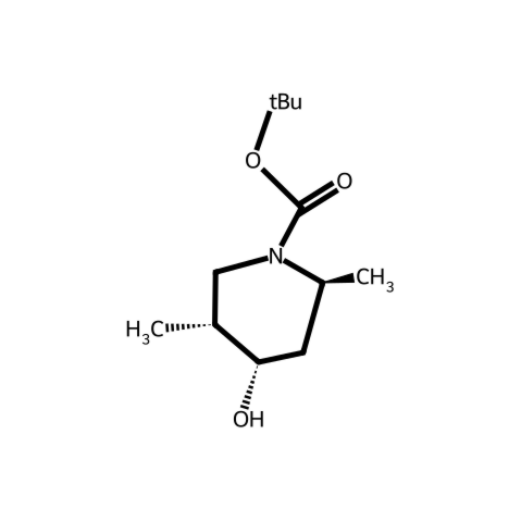 C[C@@H]1CN(C(=O)OC(C)(C)C)[C@@H](C)C[C@@H]1O